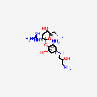 N=C(N)N[C@@H]1C[C@H](O)[C@@H](CN)O[C@@H]1OC1[C@H](O)C[C@H](NCC(O)CN)C[C@@H]1N